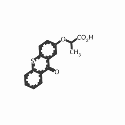 CC(Oc1ccc2sc3ccccc3c(=O)c2c1)C(=O)O